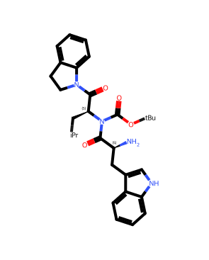 CC(C)C[C@@H](C(=O)N1CCc2ccccc21)N(C(=O)OC(C)(C)C)C(=O)[C@@H](N)Cc1c[nH]c2ccccc12